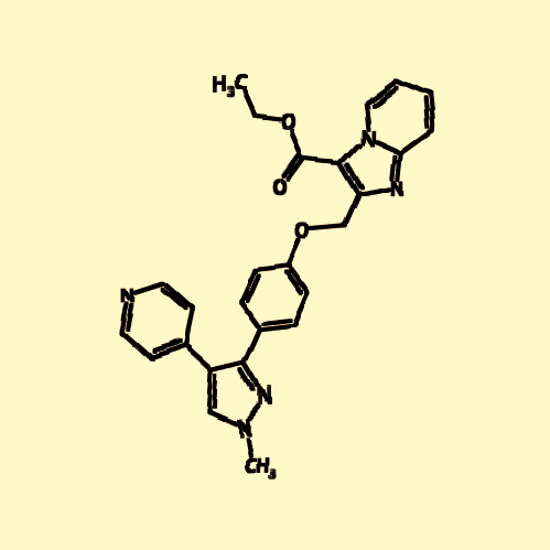 CCOC(=O)c1c(COc2ccc(-c3nn(C)cc3-c3ccncc3)cc2)nc2ccccn12